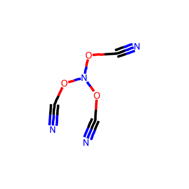 N#CON(OC#N)OC#N